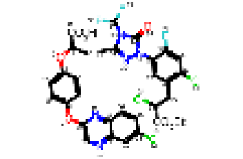 CC(Oc1ccc(Oc2cnc3cc(Cl)ccc3n2)cc1)C(=O)O.CCOC(=O)C(Cl)Cc1cc(-n2nc(C)n(C(F)F)c2=O)c(F)cc1Cl